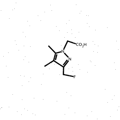 Cc1c(CF)nn(CC(=O)O)c1C